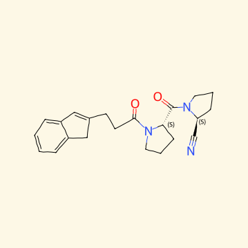 N#C[C@@H]1CCCN1C(=O)[C@@H]1CCCN1C(=O)CCC1=Cc2ccccc2C1